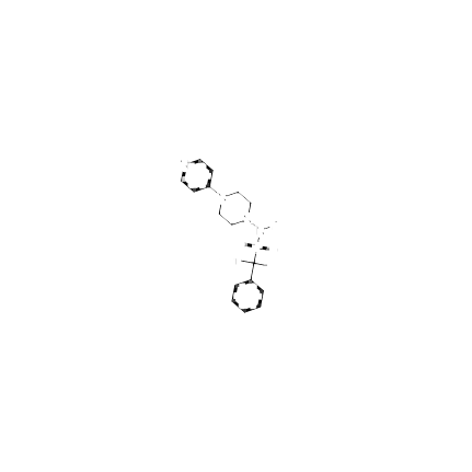 CCCC(C)(c1ccccc1)S(=O)(=O)N(C(C)=O)N1CCN(c2ccncc2)CC1